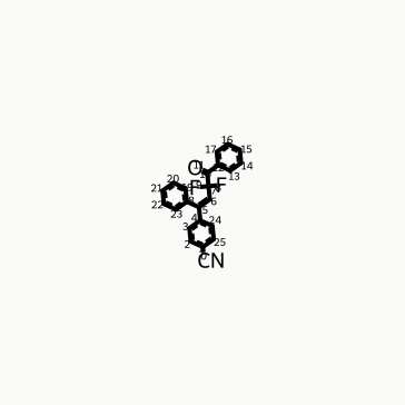 N#Cc1ccc(C(=CC(F)(F)C(=O)c2ccccc2)c2ccccc2)cc1